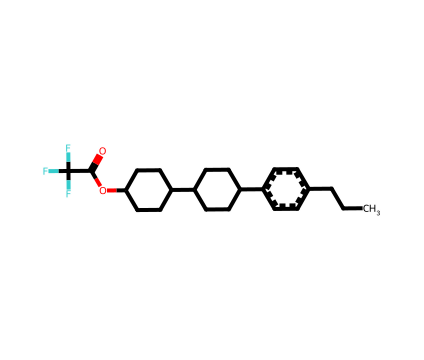 CCCc1ccc(C2CCC(C3CCC(OC(=O)C(F)(F)F)CC3)CC2)cc1